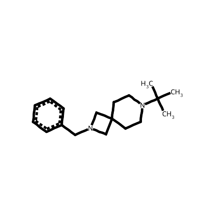 CC(C)(C)N1CCC2(CC1)CN(Cc1ccccc1)C2